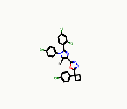 CCc1c(-c2nnc(C3(c4ccc(Cl)cc4)CCC3)o2)nc(-c2ccc(Cl)cc2Cl)n1-c1ccc(Br)cc1